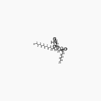 CCCCCCCCCCCCC[C@@H](CC1OC(=O)[C@H]1CCCCCC)OC(=O)CNC=O